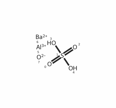 O=S(=O)(O)O.[Al+3].[Ba+2].[O-2]